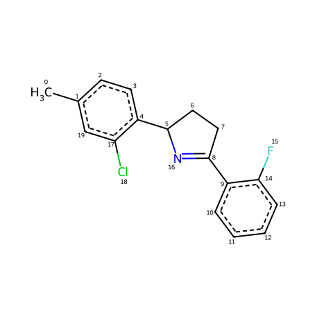 Cc1ccc(C2CCC(c3ccccc3F)=N2)c(Cl)c1